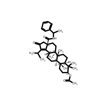 CC(=O)O[C@H]1CC[C@]2(C)[C@H]3CC[C@@H]4C5=C(C(C)C)C(=O)C[C@]5(C(=O)NC(C)c5ccccc5)CC[C@@]4(C)[C@]3(C)CC[C@H]2C1(C)C